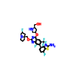 Nc1nc2c(-c3c(C(F)(F)F)cc4c(OC5CNC(CO)C5)nc(OCC56CCCN5CC(F)C6)nc4c3F)ccc(F)c2s1